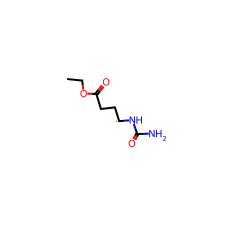 CCOC(=O)CC[CH]NC(N)=O